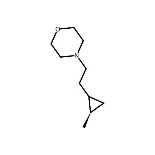 C[C@@H]1CC1CCN1CCOCC1